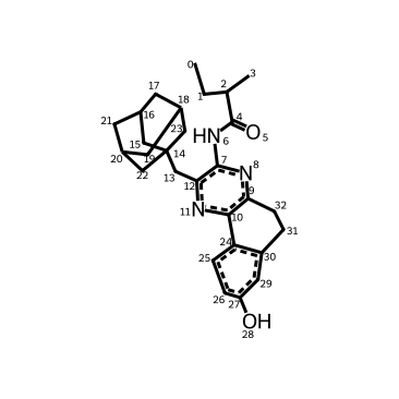 CCC(C)C(=O)Nc1nc2c(nc1CC13CC4CC(CC(C4)C1)C3)-c1ccc(O)cc1CC2